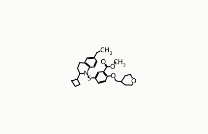 CCc1ccc2c(c1)CCC(C1CCC1)N2Sc1ccc(OCC2CCOCC2)c(C(=O)OC)c1